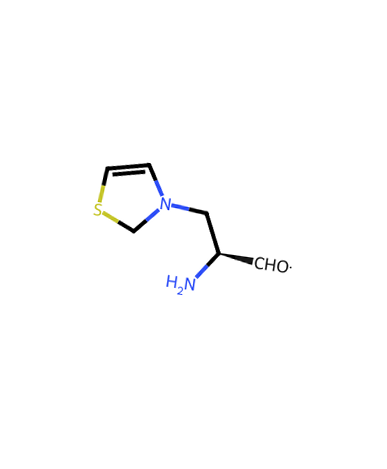 N[C@H]([C]=O)CN1C=CSC1